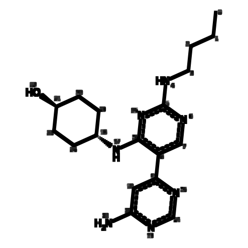 CCCCNc1ncc(-c2cc(N)ncn2)c(N[C@H]2CC[C@H](O)CC2)n1